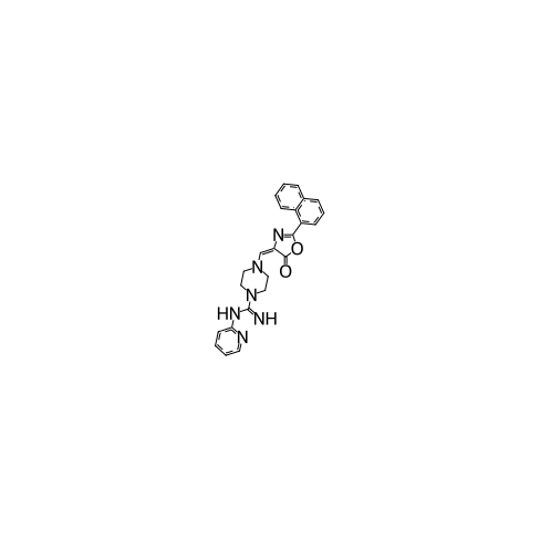 N=C(Nc1ccccn1)N1CCN(/C=C2/N=C(c3cccc4ccccc34)OC2=O)CC1